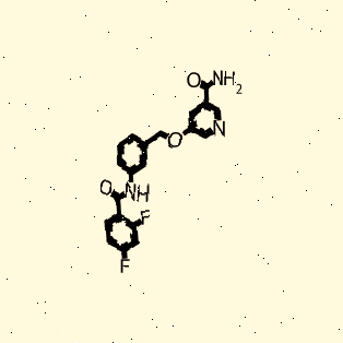 NC(=O)c1cncc(OCc2cccc(NC(=O)c3ccc(F)cc3F)c2)c1